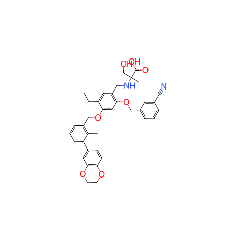 CCc1cc(CNC(C)(CO)C(=O)O)c(OCc2cccc(C#N)c2)cc1OCc1cccc(-c2ccc3c(c2)OCCO3)c1C